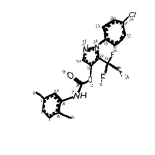 Cc1ccc(C)c(NC(=O)Oc2cnn(-c3ccc(Cl)cc3)c2C(F)(F)F)c1